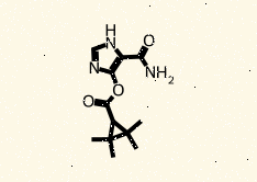 CC1(C)C(C(=O)Oc2nc[nH]c2C(N)=O)C1(C)C